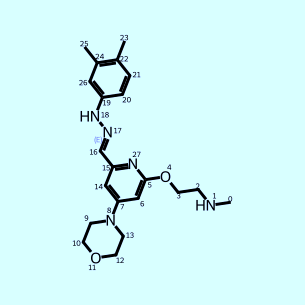 CNCCOc1cc(N2CCOCC2)cc(/C=N/Nc2ccc(C)c(C)c2)n1